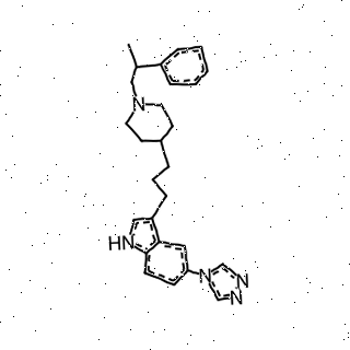 CC(CN1CCC(CCCc2c[nH]c3ccc(-n4cnnc4)cc23)CC1)c1ccccc1